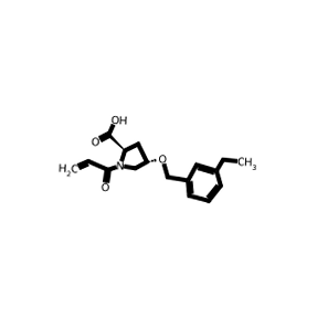 C=CC(=O)N1C[C@@H](OCc2cccc(CC)c2)C[C@@H]1C(=O)O